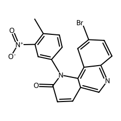 Cc1ccc(-n2c(=O)ccc3cnc4ccc(Br)cc4c32)cc1[N+](=O)[O-]